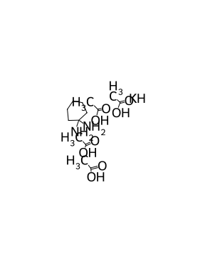 CC(=O)O.CC(=O)O.CC(=O)O.CC(=O)O.NC1(N)CCCCC1.[KH]